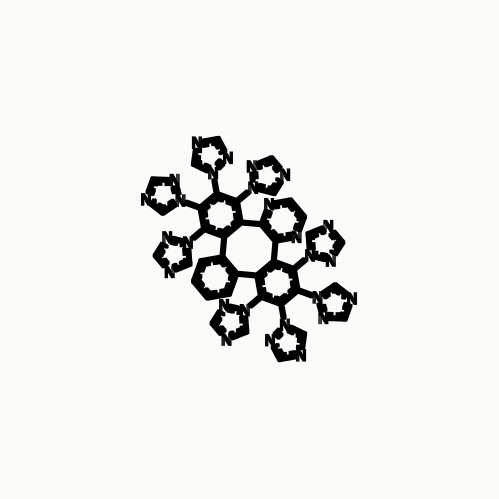 c1ccc2c(c1)-c1c(c(-n3cncn3)c(-n3cncn3)c(-n3cncn3)c1-n1cncn1)-c1nccnc1-c1c-2c(-n2cncn2)c(-n2cncn2)c(-n2cncn2)c1-n1cncn1